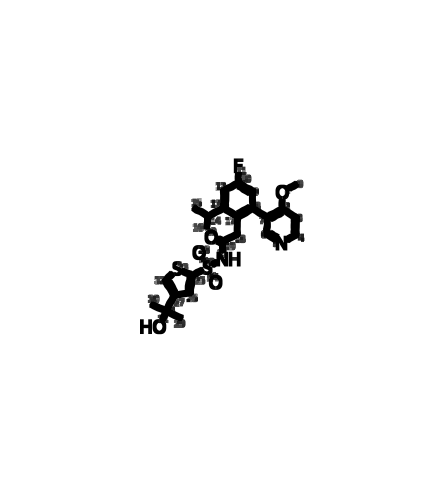 COc1ccncc1-c1cc(F)cc(C(C)C)c1CC(=O)NS(=O)(=O)c1cc(C(C)(C)O)cs1